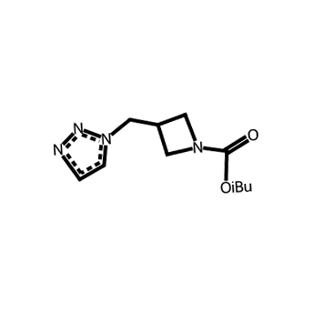 CC(C)COC(=O)N1CC(Cn2ccnn2)C1